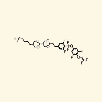 CCCCCC1COC(C2COC(CCc3cc(F)c(C(F)(F)Oc4cc(F)c(OC=C(F)F)c(F)c4)c(F)c3)OC2)OC1